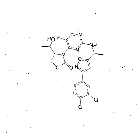 C[C@H](Nc1ncc(F)c(N2C(=O)OC[C@@H]2[C@@H](C)O)n1)c1cc(-c2ccc(Cl)c(Cl)c2)no1